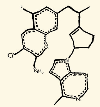 Cc1ncnc2c1ccn2C1C=C(C(C)Cc2cc(F)c3cc(Cl)c(N)nc3c2)CC1